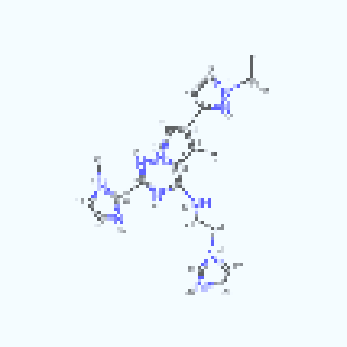 Cc1c(-c2ccn(C(C)C)n2)cn2nc(-c3nccn3C)nc(NCCn3ccnc3)c12